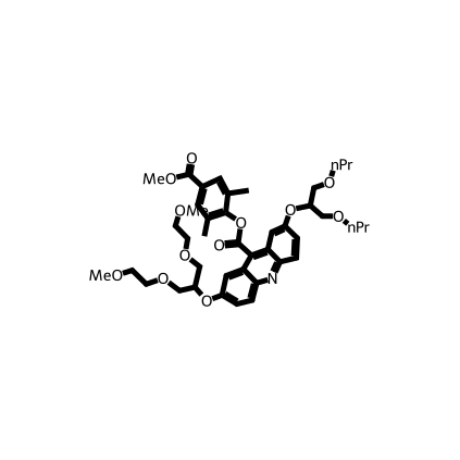 CCCOCC(COCCC)Oc1ccc2nc3ccc(OC(COCCOC)COCCOC)cc3c(C(=O)Oc3c(C)cc(C(=O)OC)cc3C)c2c1